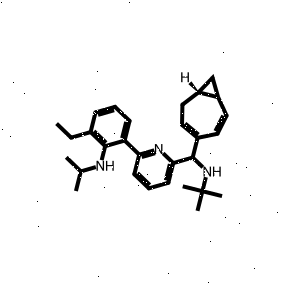 CCc1cccc(-c2cccc(C(NC(C)(C)C)C3=CC[C@@H]4CC4C=C3)n2)c1NC(C)C